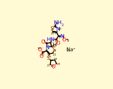 CO/N=C(\C(=O)NC1C(=O)N2C(C(=O)[O-])=C(SC3CCOC3)CS[C@H]12)c1csc(N)n1.[Na+]